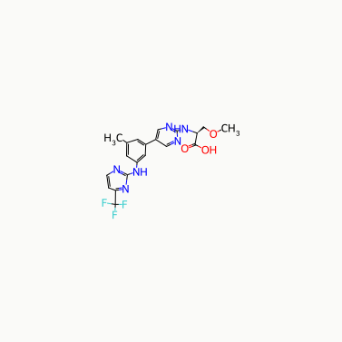 COC[C@H](Nc1ncc(-c2cc(C)cc(Nc3nccc(C(F)(F)F)n3)c2)cn1)C(=O)O